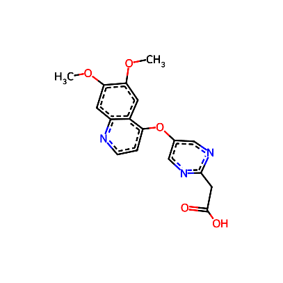 COc1cc2nccc(Oc3cnc(CC(=O)O)nc3)c2cc1OC